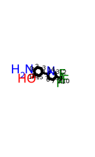 Nc1ccc(-c2ccc(C(F)(F)F)cn2)cc1O